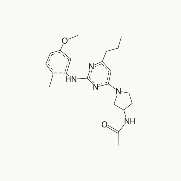 CCCc1cc(N2CCC(NC(C)=O)C2)nc(Nc2cc(OC)ccc2C)n1